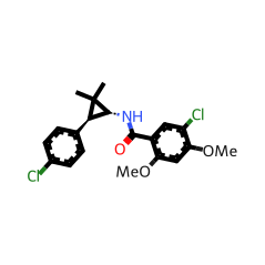 COc1cc(OC)c(C(=O)N[C@@H]2[C@@H](c3ccc(Cl)cc3)C2(C)C)cc1Cl